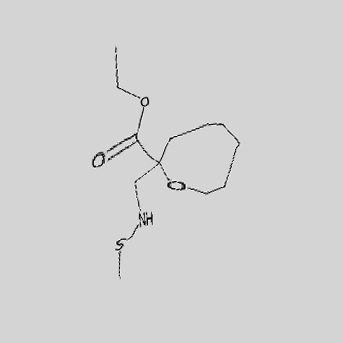 CCOC(=O)C1(CNSC)CCCCO1